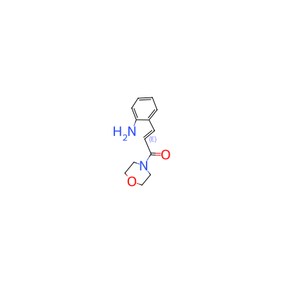 Nc1ccccc1/C=C/C(=O)N1CCOCC1